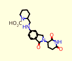 O=C1CCC(N2Cc3cc(NCC4CCCCN4C(=O)O)ccc3C2=O)C(=O)N1